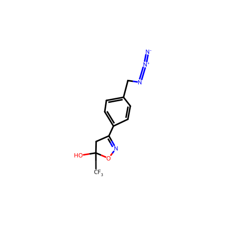 [N-]=[N+]=NCc1ccc(C2=NOC(O)(C(F)(F)F)C2)cc1